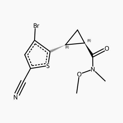 CON(C)C(=O)[C@@H]1C[C@H]1c1sc(C#N)cc1Br